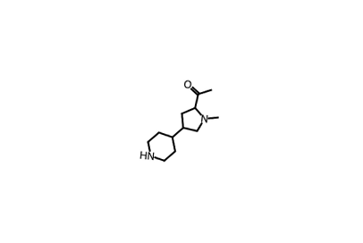 CC(=O)C1CC(C2CCNCC2)CN1C